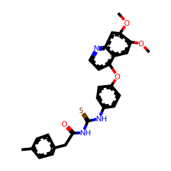 COc1cc2nccc(Oc3ccc(NC(=S)NC(=O)Cc4ccc(C)cc4)cc3)c2cc1OC